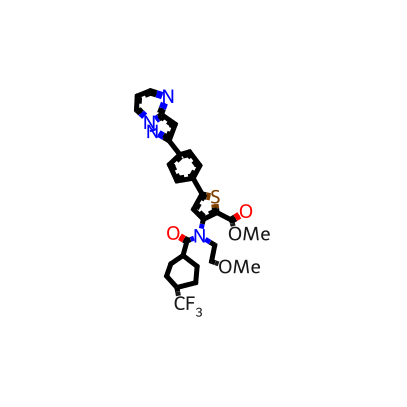 COCCN(C(=O)C1CCC(C(F)(F)F)CC1)c1cc(-c2ccc(-c3cc4ncccn4n3)cc2)sc1C(=O)OC